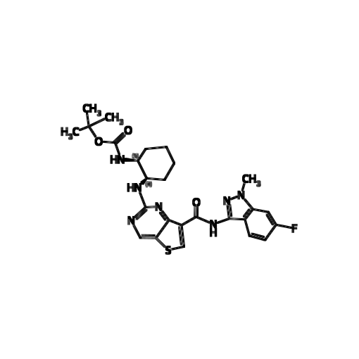 Cn1nc(NC(=O)c2csc3cnc(N[C@@H]4CCCC[C@@H]4NC(=O)OC(C)(C)C)nc23)c2ccc(F)cc21